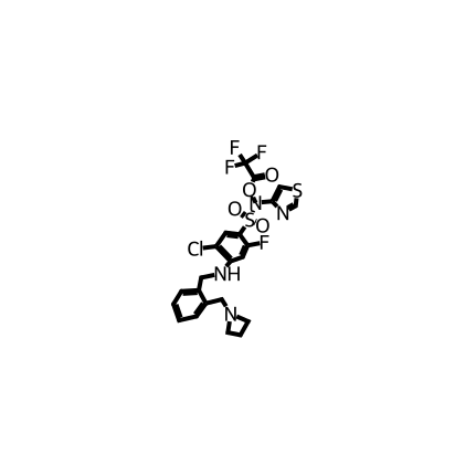 O=C(ON(c1cscn1)S(=O)(=O)c1cc(Cl)c(NCc2ccccc2CN2CCC2)cc1F)C(F)(F)F